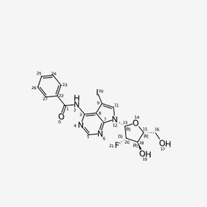 O=C(Nc1ncnc2c1c(I)cn2[C@@H]1O[C@H](CO)[C@@H](O)[C@@H]1F)c1ccccc1